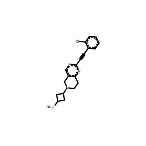 O=C(O)C1CC(N2CCc3nc(C#Cc4ccccc4Cl)ncc3C2)C1